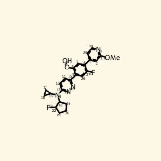 COc1cc(-c2cc(OO)c(-c3ccc(N(C4CC4)C4CCCC4F)nn3)cc2F)ccn1